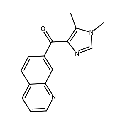 Cc1c(C(=O)c2ccc3cccnc3c2)ncn1C